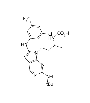 CC(CCn1c(Nc2cc(Cl)cc(C(F)(F)F)c2)nc2cnc(NC(C)(C)C)nc21)NC(=O)O